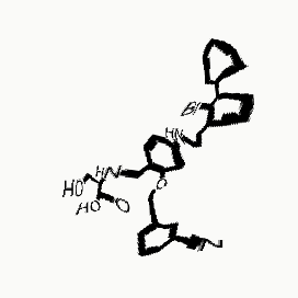 N#Cc1cccc(COc2cc(NCc3cccc(-c4ccccc4)c3Br)ccc2CN[C@H](CO)C(=O)O)c1